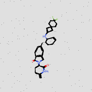 C=C1CCC(N2Cc3cc(C[C@H]4CCCC[C@@H]4NC4CC5(CCC(F)(F)CC5)C4)ccc3C2=O)C(=O)N1